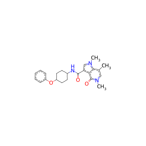 Cc1cn(C)c(=O)c2c(C(=O)NC3CCC(Oc4ccccc4)CC3)cn(C)c12